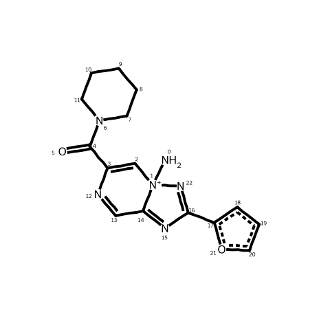 N[N+]12C=C(C(=O)N3CCCCC3)N=CC1=NC(c1ccco1)=N2